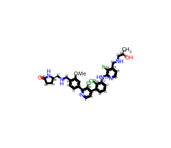 COc1cc(-c2nccc(-c3cccc(Nc4nccc(CNC[C@H](C)O)c4F)c3Cl)c2Cl)ccc1CNC[C@H]1CCC(=O)N1